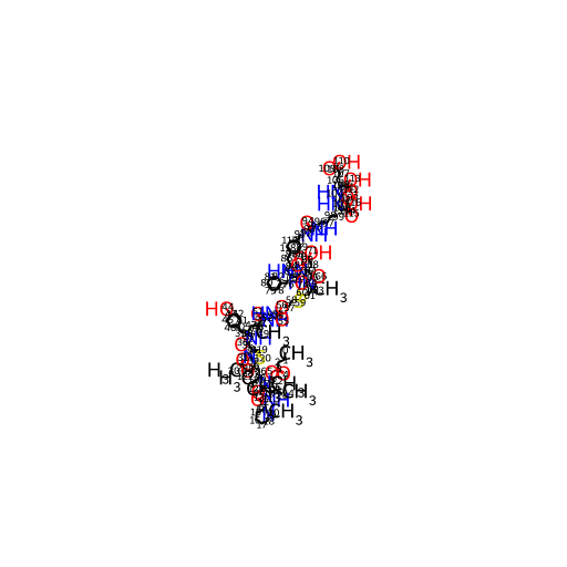 CCCC(=O)OCN(C(=O)C(NC(=O)[C@H]1CCCCN1C)[C@@H](C)CC)[C@H](C[C@@H](OC(C)=O)c1nc(C(=O)N[C@@H](Cc2ccc(O)cc2)C[C@H](C)C(=O)NNC(=O)OCCSSC[C@@H](C)NC(=O)[C@H](CC(=O)O)NC(=O)[C@H](Cc2ccccc2)NC(=O)Cc2ccc(CNC(=O)NCCCC[C@H](NC(=O)N[C@@H](CCC(=O)O)C(=O)O)C(=O)O)cc2)cs1)C(C)C